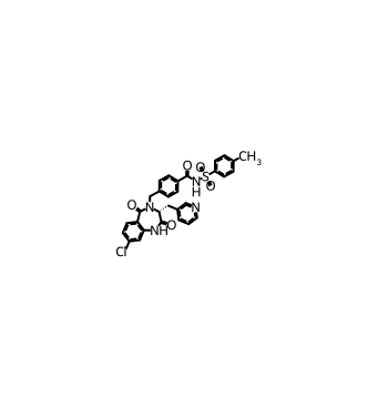 Cc1ccc(S(=O)(=O)NC(=O)c2ccc(CN3C(=O)c4ccc(Cl)cc4NC(=O)[C@H]3Cc3cccnc3)cc2)cc1